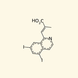 CC(=Cc1nccc2c(I)cc(I)cc12)C(=O)O